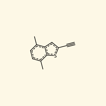 C#Cc1cc2c(C)ccc(C)c2s1